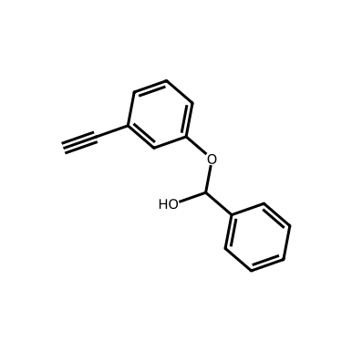 C#Cc1cccc(OC(O)c2ccccc2)c1